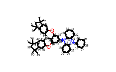 CC1(C)CC(C)(C)c2cc3c(cc21)Oc1cc(N2c4ccccc4N(c4ccccc4)c4ccccc42)cc2c1B3c1cc3c(cc1O2)C(C)(C)CC3(C)C